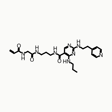 C=CC(=O)NCC(=O)NCCCNC(=O)c1cnc(NCCc2ccncc2)nc1NCCC